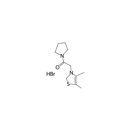 Br.CC1=C(C)N(CC(=O)N2CCCC2)CS1